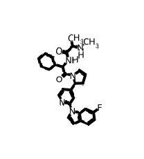 CNC(C)C(=O)NC(C(=O)N1CCCC1c1ccnc(-n2ccc3ccc(F)cc32)c1)C1CCCCC1